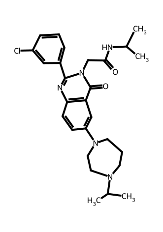 CC(C)NC(=O)Cn1c(-c2cccc(Cl)c2)nc2ccc(N3CCCN(C(C)C)CC3)cc2c1=O